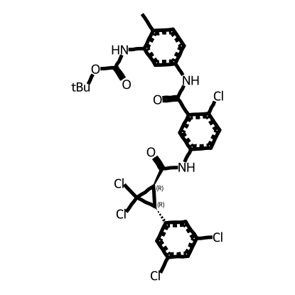 Cc1ccc(NC(=O)c2cc(NC(=O)[C@H]3[C@H](c4cc(Cl)cc(Cl)c4)C3(Cl)Cl)ccc2Cl)cc1NC(=O)OC(C)(C)C